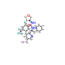 O=C(N[C@@H]1CCOC1)N[C@@](Cc1ccccc1)(c1cc(F)cc(C(F)(F)F)c1)c1ccc(CI)cn1